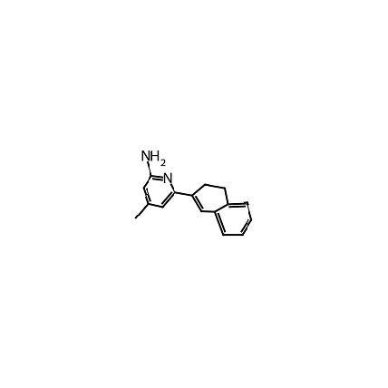 Cc1cc(N)nc(C2=Cc3ccccc3CC2)c1